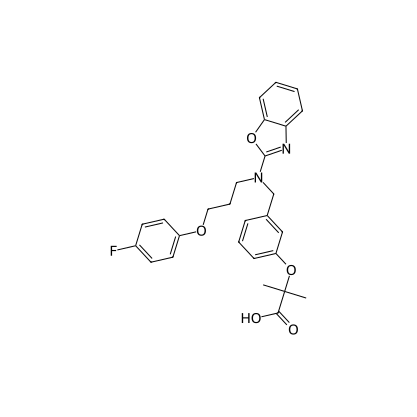 CC(C)(Oc1cccc(CN(CCCOc2ccc(F)cc2)c2nc3ccccc3o2)c1)C(=O)O